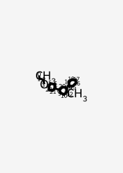 CCCOc1ccc(-c2ccc(C)c(-c3ccccc3)c2)cc1